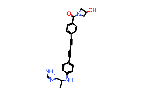 CC(C/N=C\N)Nc1ccc(C#CC#Cc2ccc(C(=O)N3CC(O)C3)cc2)cc1